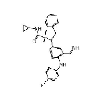 CC(C)(C(=O)NC1CC1)C(Cc1ccccc1)c1ccc(Nc2ccc(F)cc2)c(C=N)c1